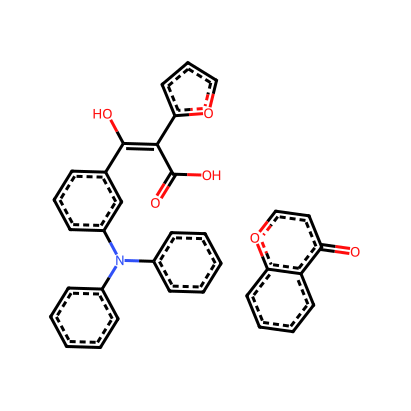 O=C(O)C(=C(O)c1cccc(N(c2ccccc2)c2ccccc2)c1)c1ccco1.O=c1ccoc2ccccc12